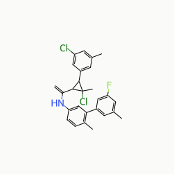 C=C(Nc1ccc(C)c(-c2cc(C)cc(F)c2)c1)C1C(c2cc(C)cc(Cl)c2)C1(C)Cl